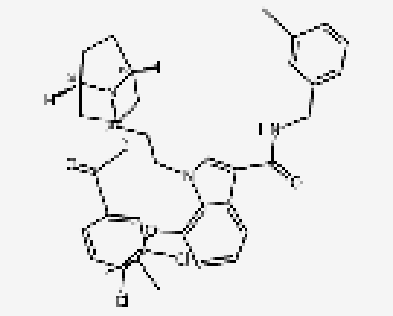 Cc1cccc(CNC(=O)c2cn(CCCN3[C@@H]4CC[C@H]3C[C@@H](CC(=O)c3ccc(Cl)c(Cl)c3)C4)c3c(OC(C)C)cccc23)c1